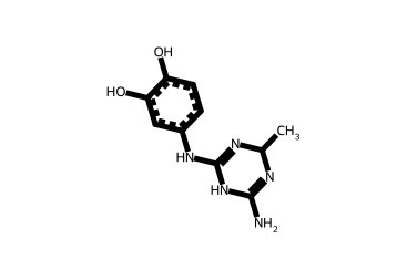 CC1N=C(N)NC(Nc2ccc(O)c(O)c2)=N1